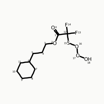 O=C(OCCCC1CCCCC1)C(F)(F)SOOO